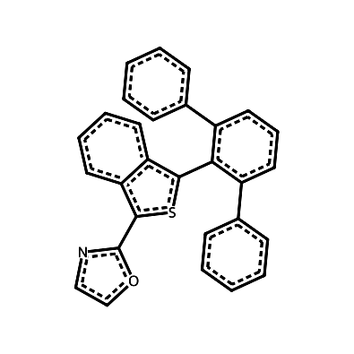 c1ccc(-c2cccc(-c3ccccc3)c2-c2sc(-c3ncco3)c3ccccc23)cc1